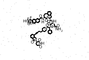 NC(=O)CC[C@H](NC(=O)[C@@H]1Cc2cccc3c2N1C(=O)[C@@H](NC(=O)c1ccc2ccc(C(F)(F)P(=O)(O)O)cc2c1)CC3)C(=O)N[C@H](C(=O)N1CCC(CCC#Cc2cccc3c2CN(C2CCC(=O)NC2=O)C3=O)CC1)c1ccccc1